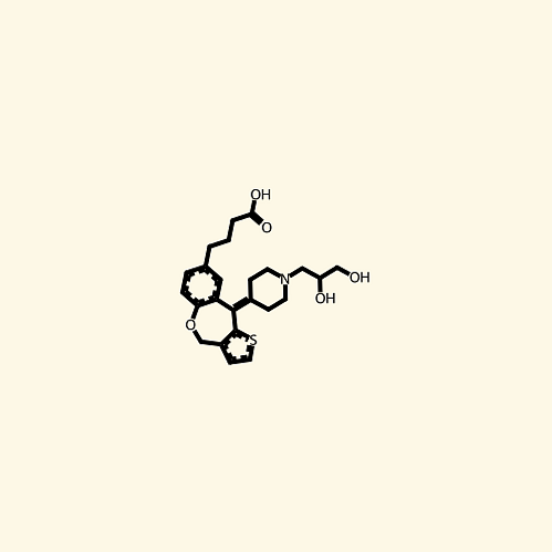 O=C(O)CCCc1ccc2c(c1)C(=C1CCN(CC(O)CO)CC1)c1sccc1CO2